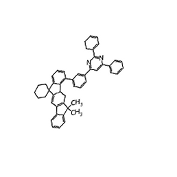 CC1(C)C2=C(C=C3C(C2)c2c(-c4cccc(-c5cc(-c6ccccc6)nc(C6=CC=CCC6)n5)c4)cccc2C32CCCCC2)c2ccccc21